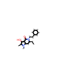 CCc1cc2c(c(O)c(C)n2C)c(=O)n1CCc1ccccc1